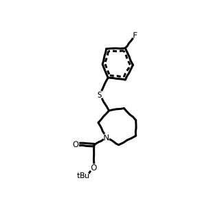 CC(C)(C)OC(=O)N1CCCCC(Sc2ccc(F)cc2)C1